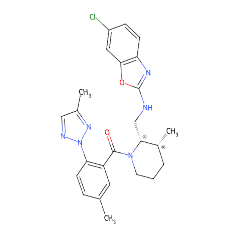 Cc1ccc(-n2ncc(C)n2)c(C(=O)N2CCC[C@@H](C)[C@H]2CNc2nc3ccc(Cl)cc3o2)c1